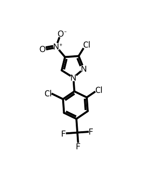 O=[N+]([O-])c1cn(-c2c(Cl)cc(C(F)(F)F)cc2Cl)nc1Cl